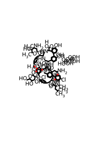 CNC(CC(C)C)C(=O)NC1C(=O)NC(CC(N)=O)C(=O)NC2C(=O)NC3C(=O)NC(C(=O)NC(C(=O)O)c4cc(O)cc(O)c4-c4cc3ccc4O)C(OC3CC(C)(N)C(O)C(C)O3)c3ccc(c(Cl)c3)Oc3cc2cc(c3OC2OC(CO)C(O)C(O)C2OC2CC(C)(NCc3ccc(-c4ccc(Cl)cc4)cc3)C(O)C(C)O2)Oc2ccc(cc2Cl)C1O.O=P(O)(O)O.O=P(O)(O)O